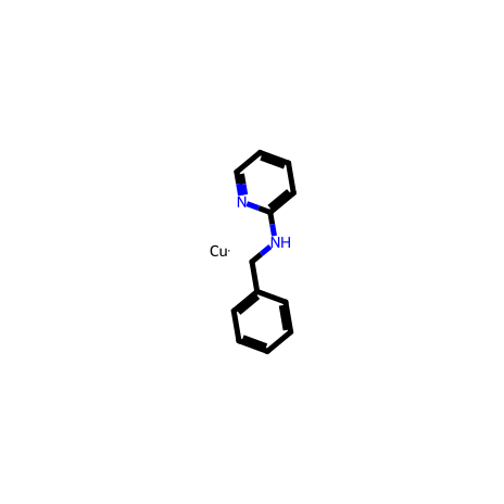 [Cu].c1ccc(CNc2ccccn2)cc1